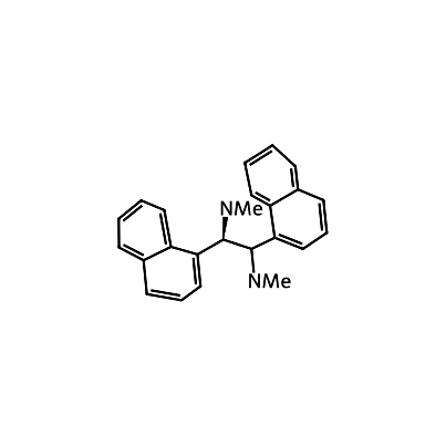 CNC(c1cccc2ccccc12)[C@H](NC)c1cccc2ccccc12